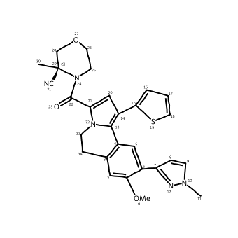 COc1cc2c(cc1-c1ccn(C)n1)-c1c(-c3cccs3)cc(C(=O)N3CCOC[C@]3(C)C#N)n1CC2